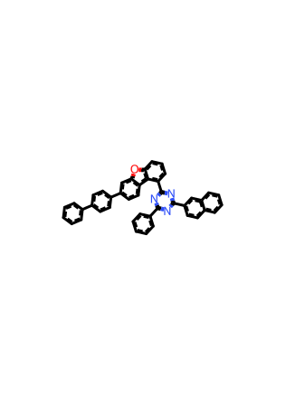 c1ccc(-c2ccc(-c3ccc4c(c3)oc3cccc(-c5nc(-c6ccccc6)nc(-c6ccc7ccccc7c6)n5)c34)cc2)cc1